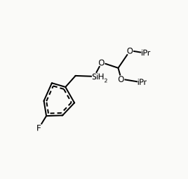 CC(C)OC(O[SiH2]Cc1ccc(F)cc1)OC(C)C